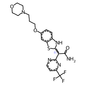 NC(=O)/C(=C1\Nc2ccc(OCCCN3CCOCC3)cc2S1)c1nccc(C(F)(F)F)n1